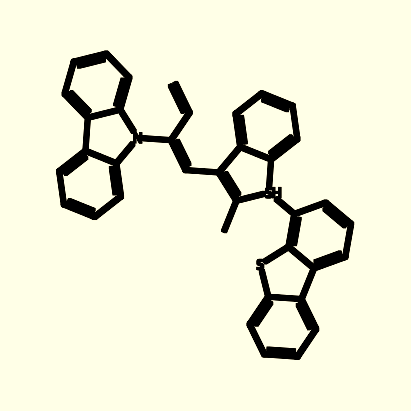 C=C/C(=C\C1=C(C)[SH](c2cccc3c2sc2ccccc23)c2ccccc21)n1c2ccccc2c2ccccc21